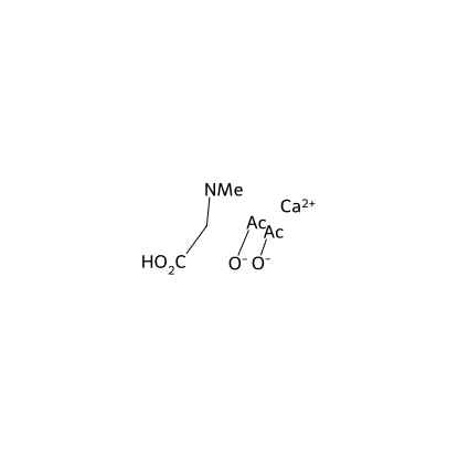 CC(=O)[O-].CC(=O)[O-].CNCC(=O)O.[Ca+2]